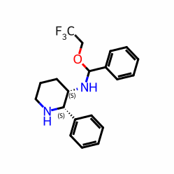 FC(F)(F)COC(N[C@H]1CCCN[C@H]1c1ccccc1)c1ccccc1